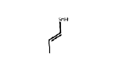 CC=[CH][SnH]